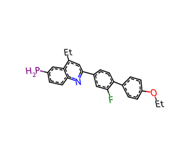 CCOc1ccc(-c2ccc(-c3cc(CC)c4cc(P)ccc4n3)cc2F)cc1